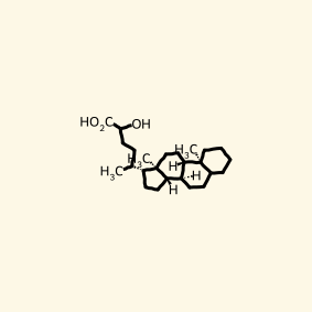 CC(CCC(O)C(=O)O)[C@H]1CC[C@H]2[C@@H]3CCC4CCCC[C@]4(C)[C@H]3CC[C@]12C